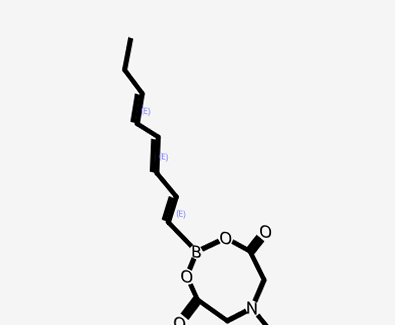 CC/C=C/C=C/C=C/B1OC(=O)CN(C)CC(=O)O1